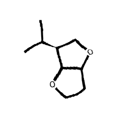 CC(C)[C@H]1COC2CCOC21